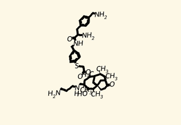 C[C@@H]1C[C@@]2(C)C[C@@]3(CCC2=O)C[C@]1(C)[C@H](OC(=O)CSc1ccc(CNC(=O)C(N)Cc2ccc(CN)cc2)cc1)C[C@](C)(CNCCCN)[C@@H](O)[C@@H]3C